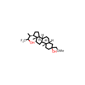 COC[C@]1(O)CC[C@@]2(C)[C@H](CC[C@@H]3[C@@H]2CC[C@]2(C)[C@@H](C(C)C(O)C(F)(F)F)CC[C@@H]32)C1